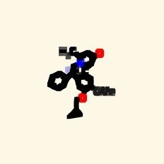 COc1ccc(/C(=C\n2c(C)cc(=O)cc2C)c2ccccc2)cc1OCC1CC1